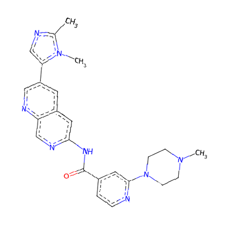 Cc1ncc(-c2cnc3cnc(NC(=O)c4ccnc(N5CCN(C)CC5)c4)cc3c2)n1C